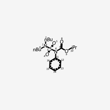 CCCCN(CCCC)S(=O)(=O)N(C(=O)OC(C)C)c1ccccc1